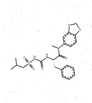 CC(C)CS(=O)(=O)NC(=O)N[C@@H](Cc1ccccc1)C(=O)N(C)c1ccc2c(c1)OCO2